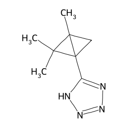 CC1(C)C2(C)CC12c1nnn[nH]1